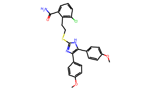 COc1ccc(-c2nc(SCCc3c(Cl)cccc3C(N)=O)[nH]c2-c2ccc(OC)cc2)cc1